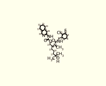 CN(C(=O)NCc1cccc(F)c1Cl)[C@@H](CCCC(C)(C)O)COC(=O)Nc1cc2ccccc2cn1